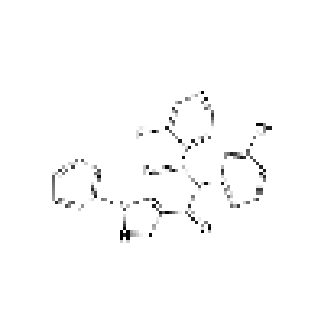 Cc1cccc(-n2c(-c3ccccc3F)nc3c(cnn3-c3ccccc3)c2=O)c1